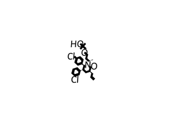 C=CC[C@H]1C[C@H](c2cccc(Cl)c2)[C@@H](c2ccc(Cl)cc2)N([C@@H](C)CCOCC(C)(C)O)C1=O